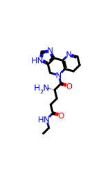 CCNC(=O)CC[C@H](N)C(=O)N1Cc2[nH]cnc2C2=C1CCC=N2